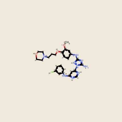 COc1cc(Nc2nc(N)n(-c3cc(Nc4cccc(F)c4)ncn3)n2)ccc1OCCCN1CCOCC1